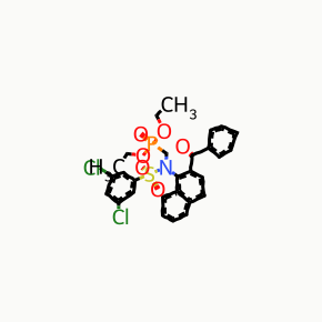 CCOP(=O)(CN(c1c(C(=O)c2ccccc2)ccc2ccccc12)S(=O)(=O)c1cc(Cl)cc(Cl)c1)OCC